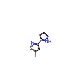 Cc1cc(-c2ccc[nH]2)ns1